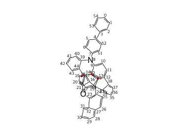 c1ccc(-c2ccc(N(c3ccc4c(c3)C3(c5ccccc5Oc5c3ccc3ccccc53)c3ccccc3-4)c3ccccc3-c3ccccc3)cc2)cc1